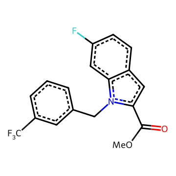 COC(=O)c1cc2ccc(F)cc2n1Cc1cccc(C(F)(F)F)c1